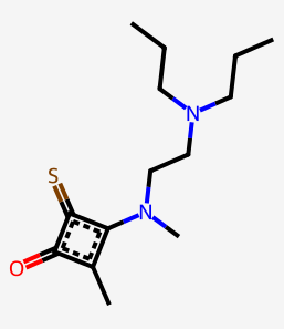 CCCN(CCC)CCN(C)c1c(C)c(=O)c1=S